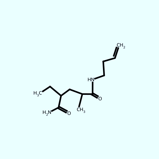 C=CCCNC(=O)C(C)CC(CC)C(N)=O